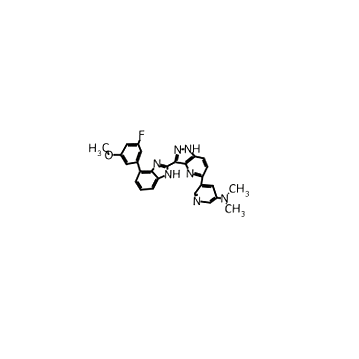 COc1cc(F)cc(-c2cccc3[nH]c(-c4n[nH]c5ccc(-c6cncc(N(C)C)c6)nc45)nc23)c1